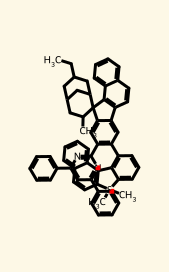 CCC1CC2CC(C)C3(c4cc(-c5nc(-c6ccccc6)cc(-c6ccccc6)n5)c(-c5cccc6c5-c5c(ccc7ccccc57)S6(C)C)cc4-c4ccc5ccccc5c43)C(C1)C2